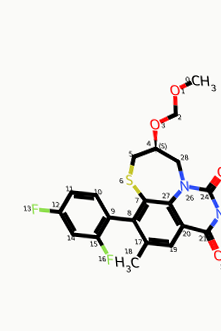 COCO[C@@H]1CSc2c(-c3ccc(F)cc3F)c(C)cc3c(=O)[nH]c(=O)n(c23)C1